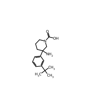 CC(C)(C)c1cccc(C2(N)CCCN(C(=O)O)C2)c1